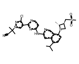 CC(C)c1ccc(N2C[C@H](CS(C)(=O)=O)[C@H]2C)c2cnc(Nc3ccnc(-c4cn(C(C)(C)C#N)nc4Cl)n3)cc12